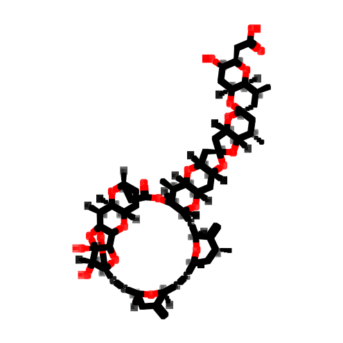 C=C1C[C@@H]2CC[C@]34OC5C6O[C@H]7CC[C@H](CC(=O)O[C@@H]8[C@@H](C)[C@@H]9O[C@@H]%10C[C@]%11(C[C@@H]%12O[C@]%13(C[C@H](C)[C@@H]%14O[C@H](CC(=O)O)[C@H](O)C[C@@H]%14O%13)C[C@H](C)[C@@H]%12O%11)O[C@@H]%10C[C@@H]9O[C@H]8C[C@@H]8O[C@H](CC[C@@H]1O2)C[C@@H](C)C8=C)O[C@@H]7[C@H](O3)C6O[C@@]5(O)[C@H]4O